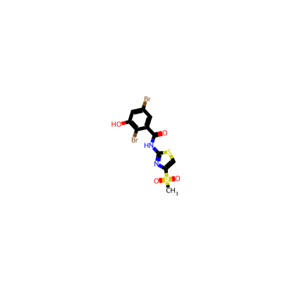 CS(=O)(=O)c1csc(NC(=O)c2cc(Br)cc(O)c2Br)n1